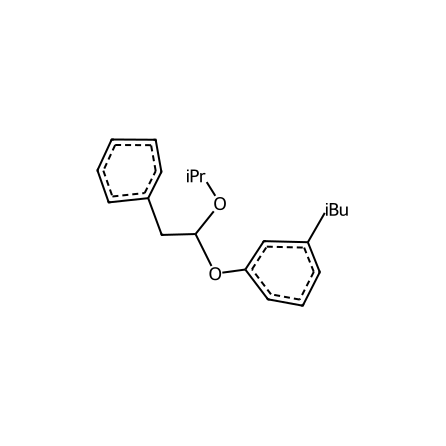 CCC(C)c1cccc(OC(Cc2ccccc2)OC(C)C)c1